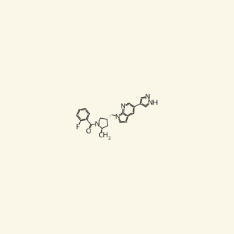 C[C@@H]1C[C@@H](Cn2ccc3cc(-c4cn[nH]c4)cnc32)CN1C(=O)c1ccccc1F